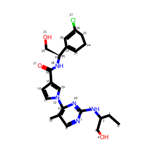 CCC(CO)Nc1ncc(C)c(-n2ccc(C(=O)N[C@@H](CO)C3=CCCC(Cl)=C3)c2)n1